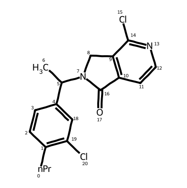 CCCc1ccc(C(C)N2Cc3c(ccnc3Cl)C2=O)cc1Cl